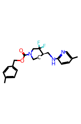 Cc1ccc(COC(=O)N2CC[C@H](CNc3ccc(C)cn3)C(F)(F)C2)cc1